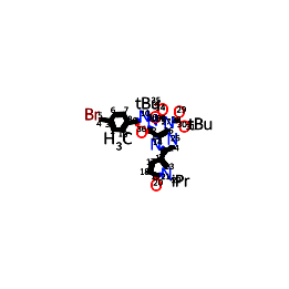 Cc1cc(CBr)ccc1-c1nnc(-c2nc(-c3ccc(=O)n(C(C)C)c3)cnc2N(C(=O)OC(C)(C)C)C(=O)OC(C)(C)C)o1